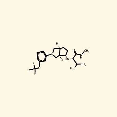 CNC(=O)[C@@H](N[C@H]1CC[C@@H]2CN(c3cccc(OC(F)(F)F)c3)C[C@@H]21)C(C)C